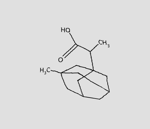 CC(C(=O)O)C12CC3CC(CC(C)(C3)C1)C2